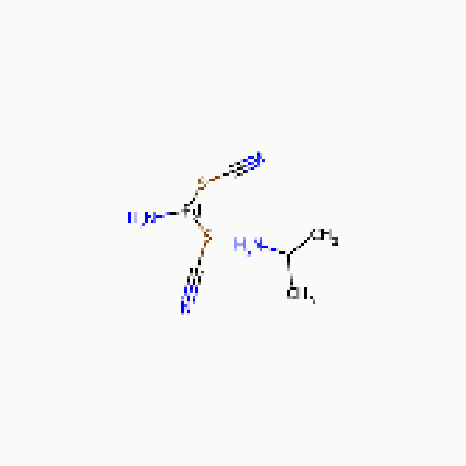 CC(C)N.N#C[S][Pd]([NH2])[S]C#N